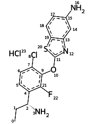 CC[C@@H](N)c1ccc(Cl)c(Oc2nc3cc(N)ccc3s2)c1F.Cl